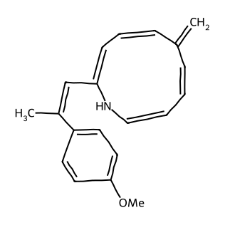 C=C1/C=C\C=C/NC(/C=C(/C)c2ccc(OC)cc2)=C\C=C/1